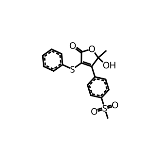 CC1(O)OC(=O)C(Sc2ccccc2)=C1c1ccc(S(C)(=O)=O)cc1